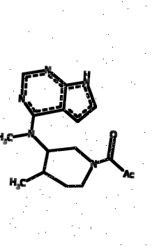 CC(=O)C(=O)N1CCC(C)C(N(C)c2ncnc3[nH]ccc23)C1